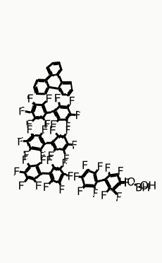 Fc1c(F)c(F)c(-c2c(F)c(F)c(F)c(F)c2F)c(F)c1F.Fc1c(F)c(F)c(-c2c(F)c(F)c(F)c(F)c2F)c(F)c1F.Fc1c(F)c(F)c(-c2c(F)c(F)c(F)c(F)c2F)c(F)c1F.Fc1c(F)c(F)c(-c2c(F)c(F)c(F)c(F)c2F)c(F)c1F.OBO.c1ccc2c(c1)c1ccccc1c1ccccc21